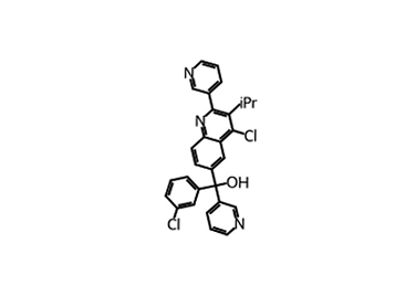 CC(C)c1c(-c2cccnc2)nc2ccc(C(O)(c3cccnc3)c3cccc(Cl)c3)cc2c1Cl